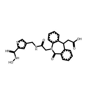 N=C(NO)c1cc(CNC(=O)CN2C(=O)c3ccccc3C(CC(=O)O)c3ccccc32)cs1